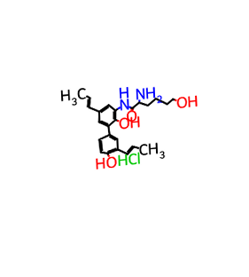 CC=Cc1cc(NC(=O)[C@@H](N)CCCCO)c(O)c(-c2ccc(O)c(C=CC)c2)c1.Cl